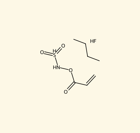 C=CC(=O)ON[SH](=O)=O.CCCC.F